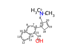 CN(C)CC1=C(c2ccc3ccccc3c2CO)CC=C1